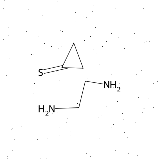 NCCN.S=C1CC1